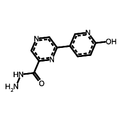 NNC(=O)c1cncc(-c2ccc(O)nc2)n1